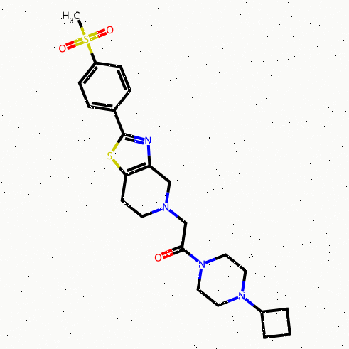 CS(=O)(=O)c1ccc(-c2nc3c(s2)CCN(CC(=O)N2CCN(C4CCC4)CC2)C3)cc1